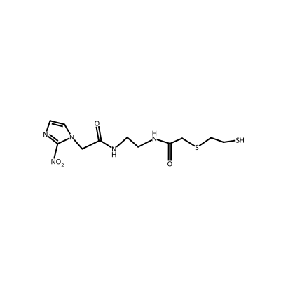 O=C(CSCCS)NCCNC(=O)Cn1ccnc1[N+](=O)[O-]